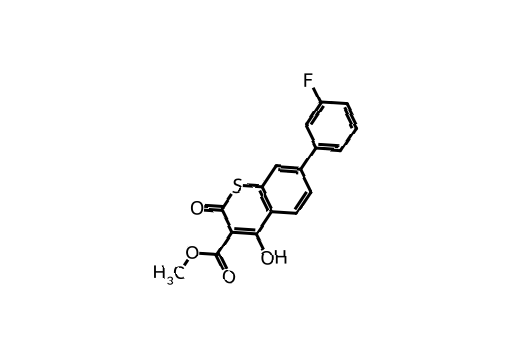 COC(=O)c1c(O)c2ccc(-c3cccc(F)c3)cc2sc1=O